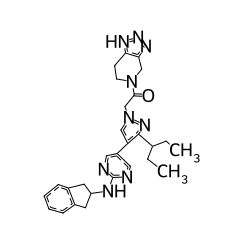 CCC(CC)c1nn(CC(=O)N2CCc3[nH]nnc3C2)cc1-c1cnc(NC2Cc3ccccc3C2)nc1